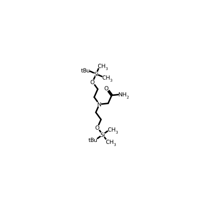 CC(C)(C)[Si](C)(C)OCCN(CCO[Si](C)(C)C(C)(C)C)CC(N)=O